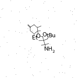 C=C1CC(C)C(C)(OC(=O)C(C)(CC(C)(C)C)C(C)(C)N)C(CC)C1